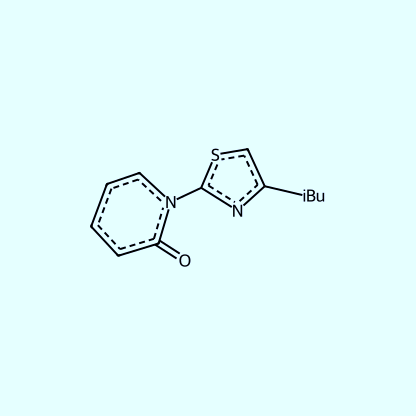 CCC(C)c1csc(-n2ccccc2=O)n1